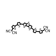 N#CC(C#N)=c1cc/c(=c2\cc/c(=c3\cc4sc5c/c(=c6/cc/c(=c7\ccc(=C(C#N)C#N)s7)s6)sc5c4s3)s2)s1